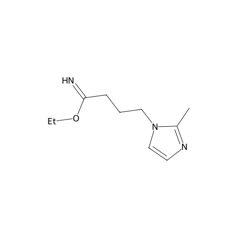 CCOC(=N)CCCn1ccnc1C